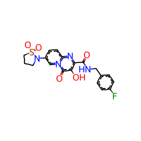 O=C(NCc1ccc(F)cc1)c1nc2ccc(N3CCCS3(=O)=O)cn2c(=O)c1O